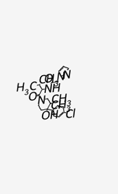 CC(C)C(NC(=O)Cn1cccn1)C(=O)N1CCC(O)(c2ccc(Cl)cc2)C(C)(C)C1